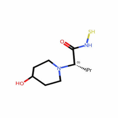 CC(C)[C@@H](C(=O)NS)N1CCC(O)CC1